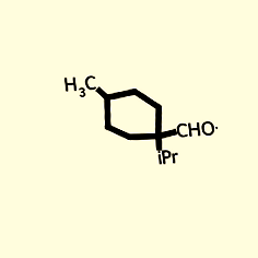 CC1CCC([C]=O)(C(C)C)CC1